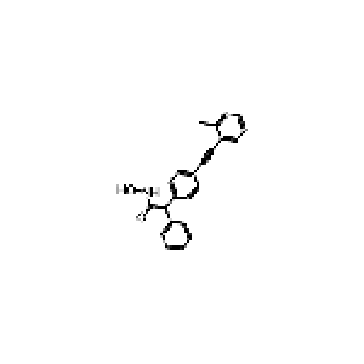 O=C(NO)C(c1ccccc1)c1ccc(C#Cc2ccccc2F)cc1